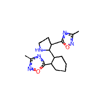 Cc1noc(C2CCCCC2C2NCCC2c2nc(C)no2)n1